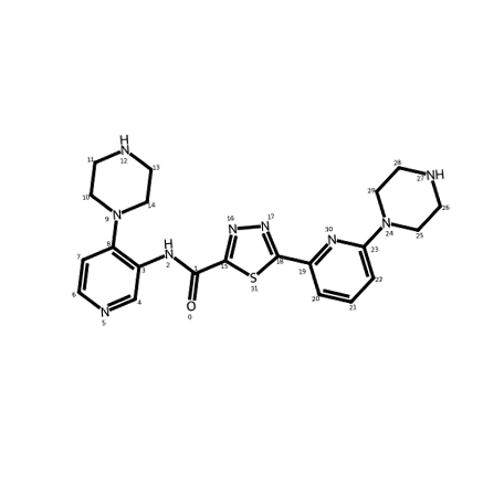 O=C(Nc1cnccc1N1CCNCC1)c1nnc(-c2cccc(N3CCNCC3)n2)s1